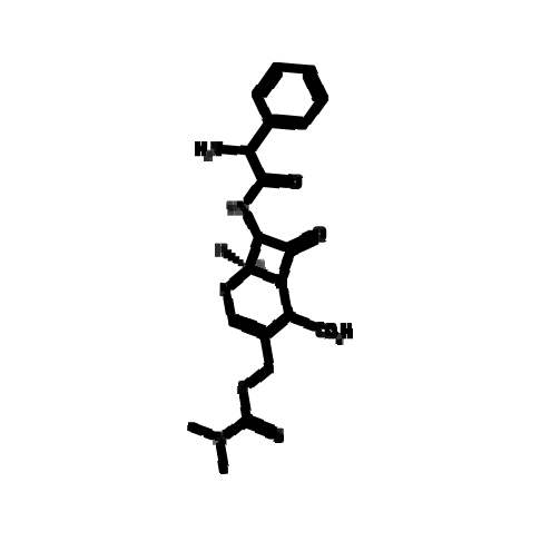 CN(C)C(=S)SCC1=CS[C@H]2C(NC(=O)C(N)c3ccccc3)C(=O)N2C1C(=O)O